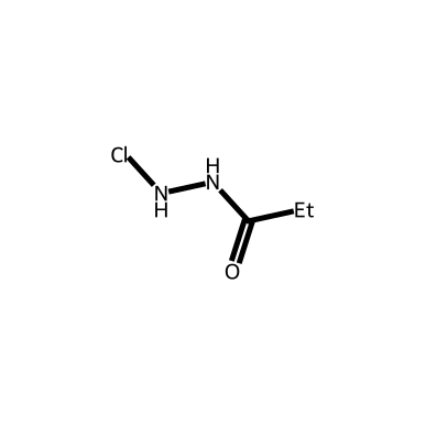 CCC(=O)NNCl